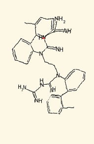 Cc1ccccc1-c1ccccc1N(CCN(C(=N)NC(=N)N)c1ccccc1-c1ccccc1C)C(=N)NC(=N)N